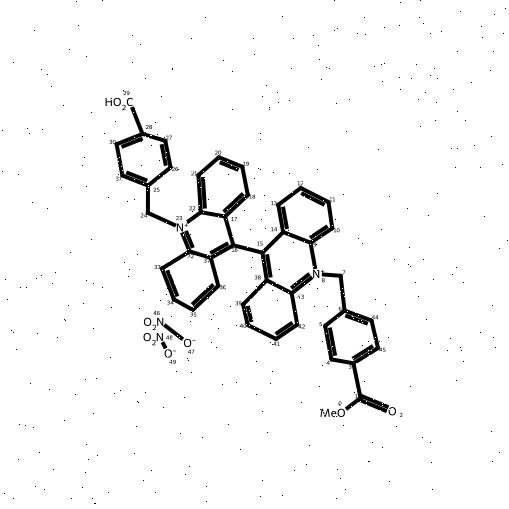 COC(=O)c1ccc(C[n+]2c3ccccc3c(-c3c4ccccc4[n+](Cc4ccc(C(=O)O)cc4)c4ccccc34)c3ccccc32)cc1.O=[N+]([O-])[O-].O=[N+]([O-])[O-]